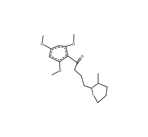 COc1cc(OC)c(C(=O)CCCN2CCCCC2C)c(OC)c1